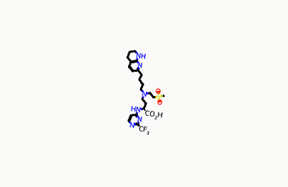 CS(=O)(=O)CCN(CCCCc1ccc2c(n1)NCCC2)CC[C@H](Nc1ccnc(C(F)(F)F)n1)C(=O)O